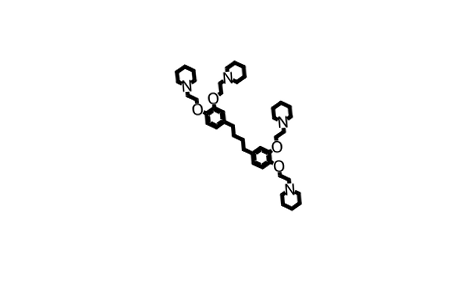 c1cc(OCCN2CCCCC2)c(OCCN2CCCCC2)cc1CCCCc1ccc(OCCN2CCCCC2)c(OCCN2CCCCC2)c1